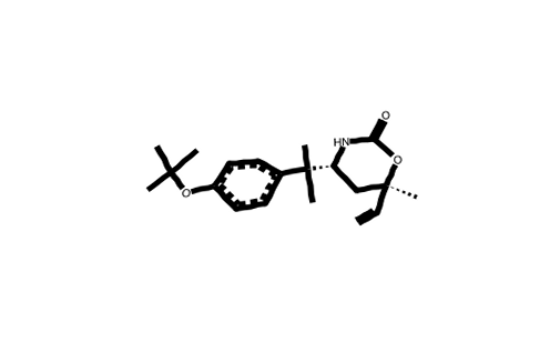 C=C[C@@]1(C)C[C@H](C(C)(C)c2ccc(OC(C)(C)C)cc2)NC(=O)O1